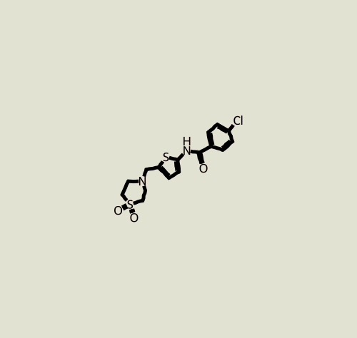 O=C(Nc1ccc(CN2CCS(=O)(=O)CC2)s1)c1ccc(Cl)cc1